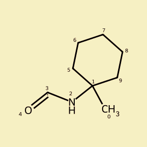 CC1(N[C]=O)CCCCC1